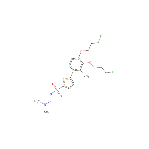 Cc1c(-c2ccc(S(=O)(=O)/N=C/N(C)C)s2)ccc(OCCCCl)c1OCCCCl